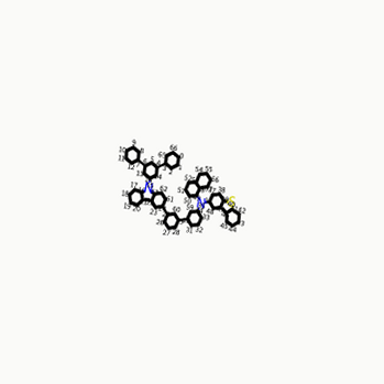 c1ccc(-c2cc(-c3ccccc3)cc(-n3c4ccccc4c4cc(-c5cccc(-c6cccc(N(c7ccc8sc9ccccc9c8c7)c7cccc8ccccc78)c6)c5)ccc43)c2)cc1